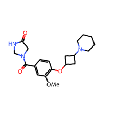 COc1cc(C(=O)N2CNC(=O)C2)ccc1OC1CC(N2CCCCC2)C1